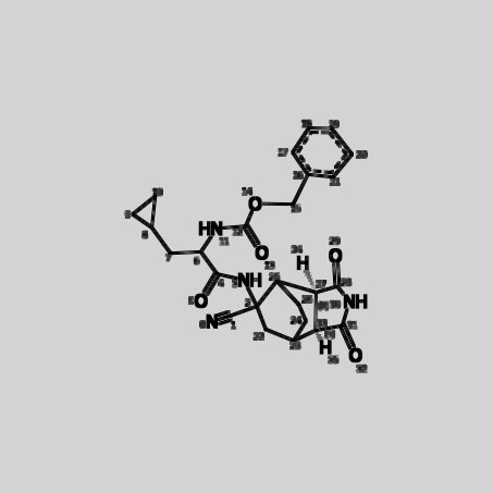 N#CC1(NC(=O)C(CC2CC2)NC(=O)OCc2ccccc2)CC2CCC1[C@H]1C(=O)NC(=O)[C@@H]21